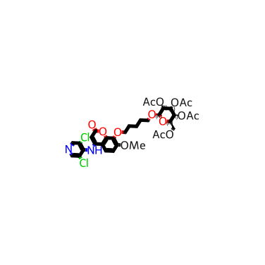 COc1ccc2c(Nc3c(Cl)cncc3Cl)cc(=O)oc2c1OCCCCCO[C@@H]1O[C@H](COC(C)=O)[C@@H](OC(C)=O)[C@H](OC(C)=O)[C@H]1OC(C)=O